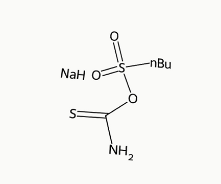 CCCCS(=O)(=O)OC(N)=S.[NaH]